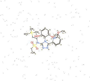 CCS(=O)(=O)N(CCS(C)(C)C)c1nnc(C2=C=C=CC(OC)=N2)n1-c1c(O)cccc1OC